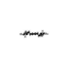 CC(C)[C@@H](C(=O)OCC(=O)c1ccc(-c2ccc(C(=O)COC(=O)[C@H](C(C)C)N3CC[C@H](NC(=O)OC(C)(C)C)C3=O)cc2)cc1)N1CC[C@H](NC(=O)OC(C)(C)C)C1=O